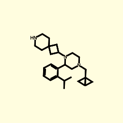 CC(C)c1ccccc1C1CN(CC23CC2C3)CCN1C1CC2(CCNCC2)C1